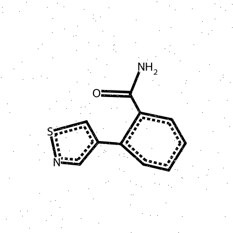 NC(=O)c1ccccc1-c1cnsc1